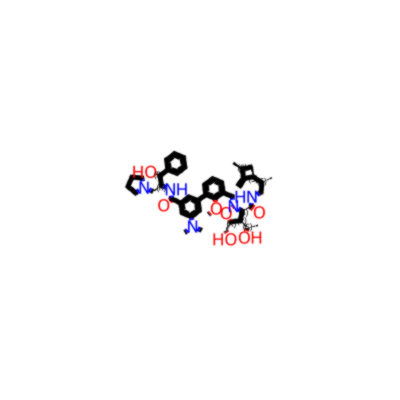 C=C1[C@H]([C@H](C)CNC(=O)[C@@H]2[C@H]([C@H](C)O)[C@H](CO)ON2Cc2cccc(-c3cc(C(=O)N[C@H](CN4CCCC4)[C@H](O)c4ccccc4)cc(N(C)C)c3)c2OC)C[C@@H]1C